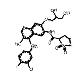 N#Cc1cnc2cc(OCC(O)CO)c(NC(=O)C3CCSS3(=O)=O)cc2c1Nc1ccc(F)c(Cl)c1